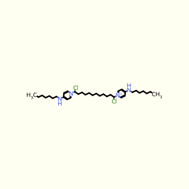 CCCCCCCNc1cc[n+](C(Cl)CCCCCCCCCCC(Cl)[n+]2ccc(NCCCCCCC)cc2)cc1